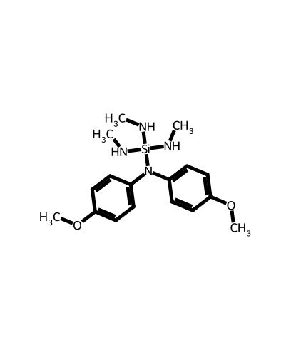 CN[Si](NC)(NC)N(c1ccc(OC)cc1)c1ccc(OC)cc1